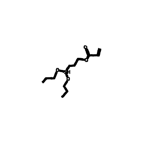 C=CC(=O)OCCC[SiH](OCCC)OCCC